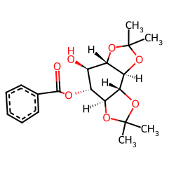 CC1(C)O[C@@H]2[C@@H](O1)[C@H](OC(=O)c1ccccc1)[C@@H](O)[C@@H]1OC(C)(C)O[C@@H]21